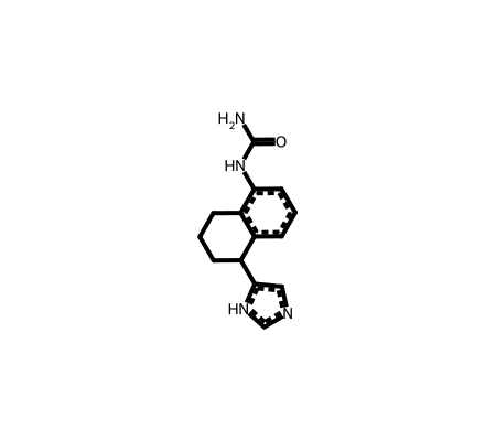 NC(=O)Nc1cccc2c1CCCC2c1cnc[nH]1